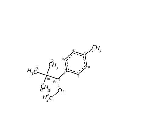 CO[C@@H](c1ccc(C)cc1)C(C)(C)C